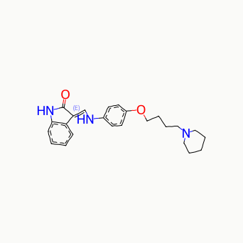 O=C1Nc2ccccc2/C1=C\Nc1ccc(OCCCCN2CCCCC2)cc1